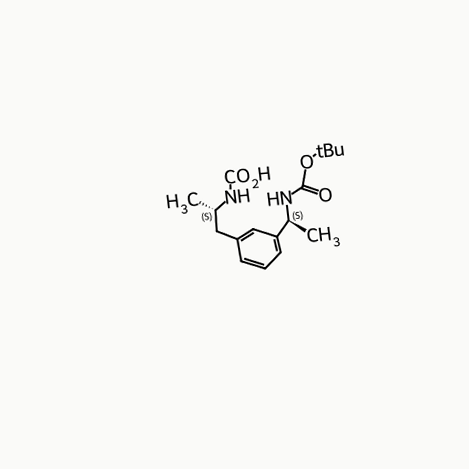 C[C@H](NC(=O)OC(C)(C)C)c1cccc(C[C@H](C)NC(=O)O)c1